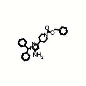 Nc1cc(C2CCN(C(=O)OCc3ccccc3)CC2)nn1C(c1ccccc1)c1ccccc1